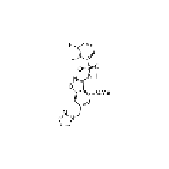 COc1cc(Cn2cccn2)cc2onc(NS(=O)(=O)c3cccc(F)c3F)c12